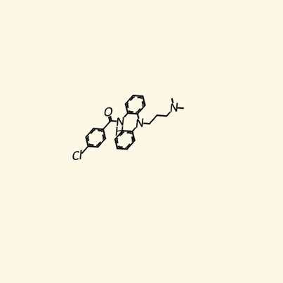 CN(C)CCCN(c1ccccc1)c1ccccc1NC(=O)c1ccc(Cl)cc1